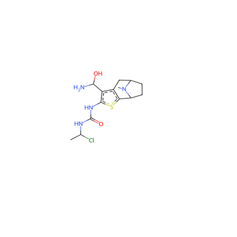 CC(Cl)NC(=O)Nc1sc2c(c1C(N)O)CC1CCC2N1C